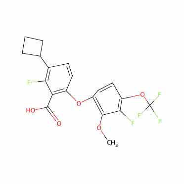 COc1c(Oc2ccc(C3CCC3)c(F)c2C(=O)O)ccc(OC(F)(F)F)c1F